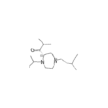 CC(C)CCN1CCN(C(C)C)[C@H](C(=O)C(C)C)C1